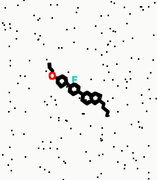 C=CCOc1ccc(-c2ccc(-c3ccc4cc(CCCC)ccc4c3)cc2F)cc1